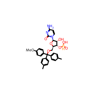 COc1ccc(C(OC[C@H]2O[C@@H](n3ccc(N)nc3=O)[C@H](O)[C@@H]2O[PH](=O)O)(c2ccc(C)cc2)c2ccc(C)cc2)cc1